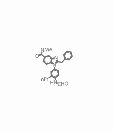 CCCc1cc(-n2c(Cc3ccccc3)nc3cc(C(=O)NC)ccc32)ccc1NC=O